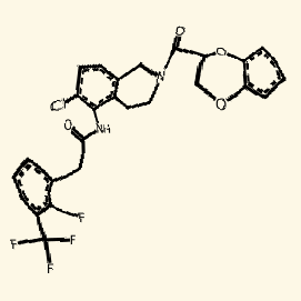 O=C(Cc1cccc(C(F)(F)F)c1F)Nc1c(Cl)ccc2c1CCN(C(=O)C1COc3ccccc3O1)C2